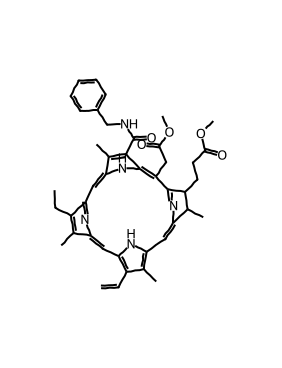 C=Cc1c(C)c2cc3nc(c(CC(=O)OC)c4[nH]c(cc5nc(cc1[nH]2)C(C)=C5CC)c(C)c4C(=O)NCc1ccccc1)C(CCC(=O)OC)C3C